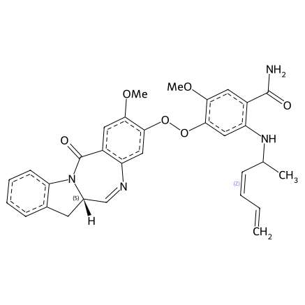 C=C/C=C\C(C)Nc1cc(OOc2cc3c(cc2OC)C(=O)N2c4ccccc4C[C@H]2C=N3)c(OC)cc1C(N)=O